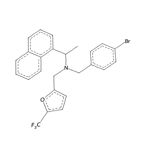 CC(c1cccc2ccccc12)N(Cc1ccc(Br)cc1)Cc1ccc(C(F)(F)F)o1